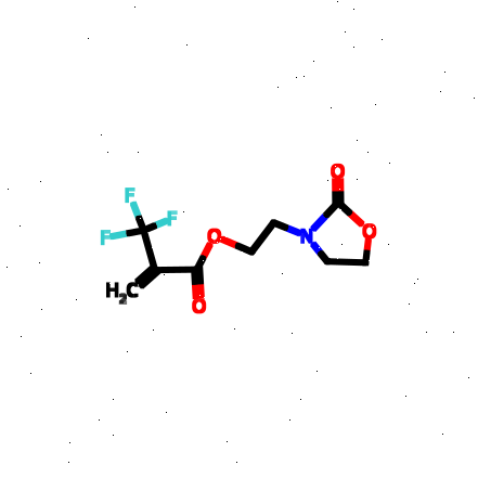 C=C(C(=O)OCCN1CCOC1=O)C(F)(F)F